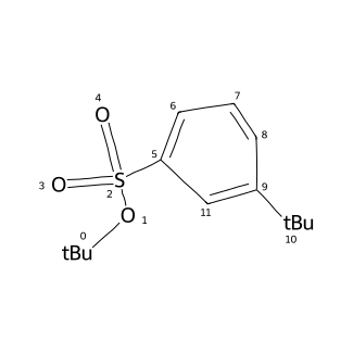 CC(C)(C)OS(=O)(=O)c1cccc(C(C)(C)C)c1